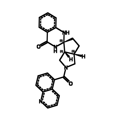 O=C1N[C@]2(CC[C@@H]3CN(C(=O)c4cccc5ncccc45)C[C@@H]32)Nc2ccccc21